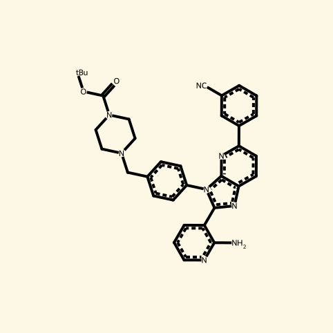 CC(C)(C)OC(=O)N1CCN(Cc2ccc(-n3c(-c4cccnc4N)nc4ccc(-c5cccc(C#N)c5)nc43)cc2)CC1